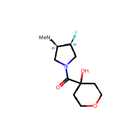 CN[C@@H]1CN(C(=O)C2(O)CCOCC2)C[C@@H]1F